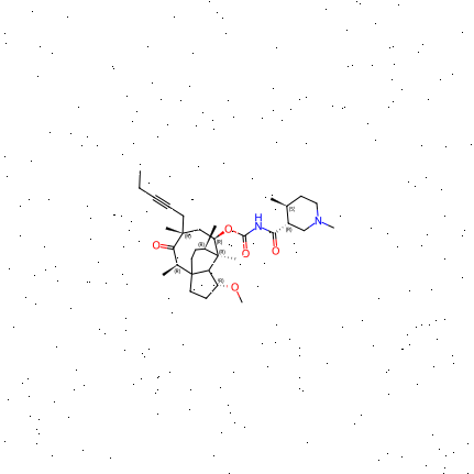 CCC#CC[C@]1(C)C[C@@H](OC(=O)NC(=O)[C@H]2CN(C)CC[C@@H]2C)[C@@]2(C)C3[C@H](OC)CCC3(CC[C@H]2C)[C@@H](C)C1=O